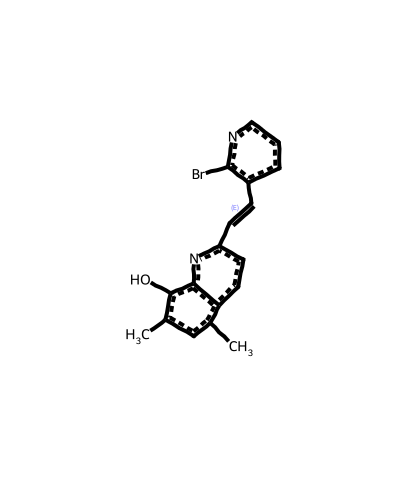 Cc1cc(C)c2ccc(/C=C/c3cccnc3Br)nc2c1O